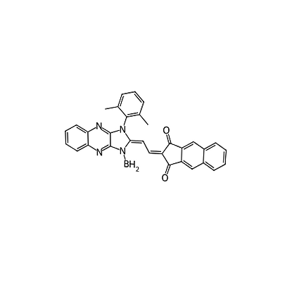 BN1/C(=C\C=C2C(=O)c3cc4ccccc4cc3C2=O)N(c2c(C)cccc2C)c2nc3ccccc3nc21